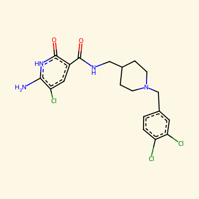 Nc1[nH]c(=O)c(C(=O)NCC2CCN(Cc3ccc(Cl)c(Cl)c3)CC2)cc1Cl